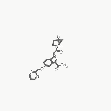 CC(=O)c1nn(CC(=O)N2CC[C@@H]3C[C@H]32)c2ccc(OCc3ncccn3)cc12